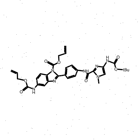 C=CCOC(=O)Nc1ccc2c(c1)nc(-c1ccc(NC(=O)c3nc(NC(=O)OC(C)(C)C)cn3C)cc1)n2C(=O)OCC=C